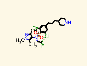 Cc1nn(C)c(C)c1N(CC(F)F)S(=O)(=O)c1c(Cl)cc(CCCC2CCNCC2)cc1Cl